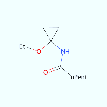 CCCCCC(=O)NC1(OCC)CC1